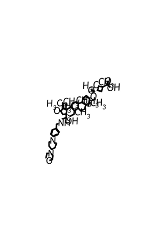 CC(C)C1=C2[C@H]3CC[C@]4(C)[C@@]5(C)CC[C@H](OC(=O)[C@H]6CC(C(=O)O)C6(C)C)[C@@]6(C)C[C@@]56CC[C@@]4(C)[C@]3(C)CC[C@@]2([C@@H](O)CNCc2ccc(N3CCC(N4CCOCC4)CC3)cc2)CC1=O